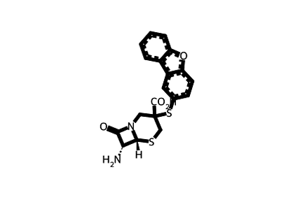 N[C@@H]1C(=O)N2CC(Sc3ccc4oc5ccccc5c4c3)(C(=O)O)CS[C@H]12